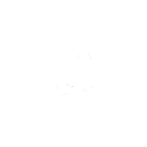 Cc1ccc(C(=O)[C@@H]2OC(=O)N[C@H]2c2ccccc2)cc1